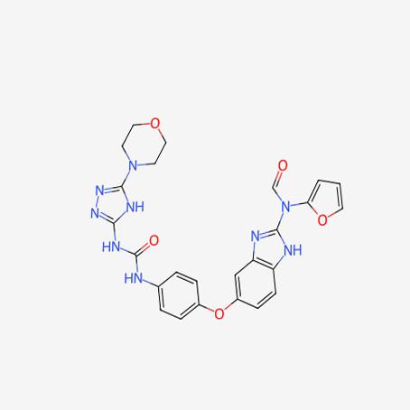 O=CN(c1nc2cc(Oc3ccc(NC(=O)Nc4nnc(N5CCOCC5)[nH]4)cc3)ccc2[nH]1)c1ccco1